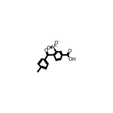 Cc1ccc(C(=O)c2ccc(C(=O)O)cc2[N+](=O)[O-])cc1